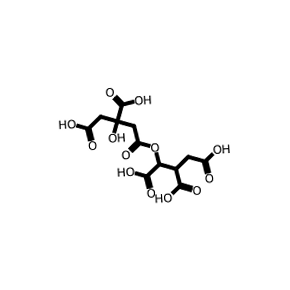 O=C(O)CC(C(=O)O)C(OC(=O)CC(O)(CC(=O)O)C(=O)O)C(=O)O